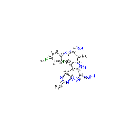 CCC(/C(C=N)=C/Nc1ccc(F)cc1F)c1[nH]c(C(=N)N)c(-c2cnc(C(F)(F)F)nc2)c1C#N